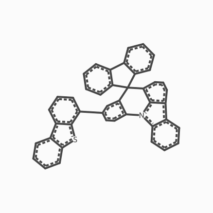 c1ccc2c(c1)-c1ccccc1C21c2cc(-c3cccc4c3sc3ccccc34)ccc2-n2c3ccccc3c3cccc1c32